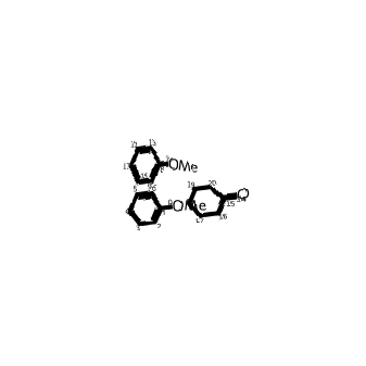 COc1ccccc1.COc1ccccc1.O=C1CCCCC1